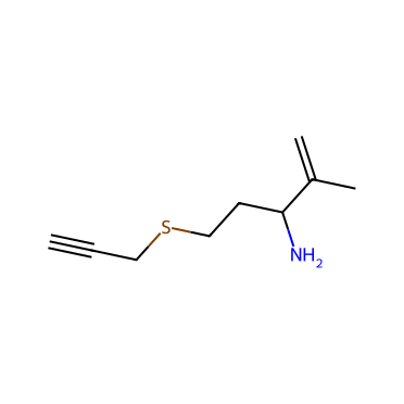 C#CCSCCC(N)C(=C)C